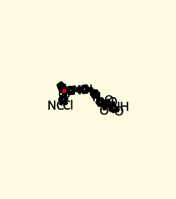 N#Cc1ccc(OC2CC3CCC(C2)N3C(=O)c2ccc(N3CC4(CCN(CC5CCN(c6ccc7c(c6)C(=O)N(C6CCC(=O)NC6=O)C7=O)CC5)CC4)C3)cc2)cc1Cl